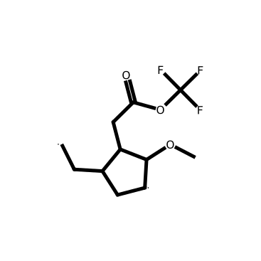 [CH2]CC1C[CH]C(OC)C1CC(=O)OC(F)(F)F